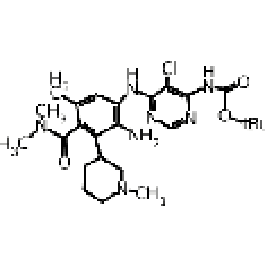 Cc1cc(Nc2ncnc(NC(=O)OC(C)(C)C)c2Cl)c(N)c(C2CCCN(C)C2)c1C(=O)N(C)C